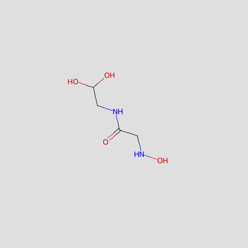 O=C(CNO)NCC(O)O